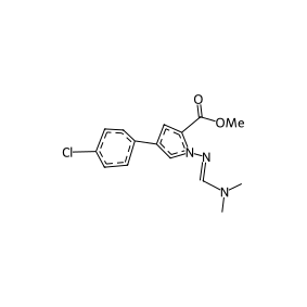 COC(=O)c1cc(-c2ccc(Cl)cc2)cn1N=CN(C)C